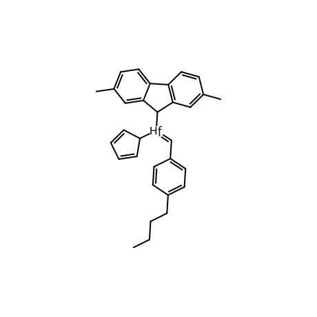 CCCCc1ccc([CH]=[Hf]([CH]2C=CC=C2)[CH]2c3cc(C)ccc3-c3ccc(C)cc32)cc1